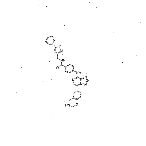 O=C(NCc1cc(-c2ccccc2)on1)c1ccc(Nc2ncc(-c3ccc4c(c3)CNCO4)n3ncnc23)cc1